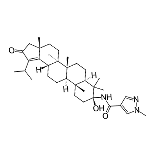 CC(C)C1=C2[C@H]3CC[C@@H]4[C@@]5(C)CC[C@@](O)(NC(=O)c6cnn(C)c6)C(C)(C)[C@@H]5CC[C@@]4(C)[C@]3(C)CC[C@@]2(C)CC1=O